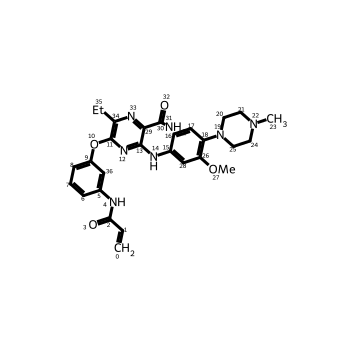 C=CC(=O)Nc1cccc(Oc2nc(Nc3ccc(N4CCN(C)CC4)c(OC)c3)c(C(N)=O)nc2CC)c1